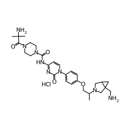 CC(COc1ccc(-n2ccc(NC(=O)N3CCN(C(=O)C(C)(C)N)CC3)nc2=O)cc1)N1CC2CC2(CN)C1.Cl